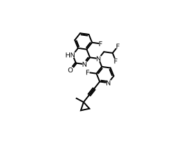 CC1(C#Cc2nccc(N(CC(F)F)c3nc(=O)[nH]c4cccc(F)c34)c2F)CC1